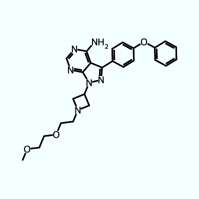 COCCOCCN1CC(n2nc(-c3ccc(Oc4ccccc4)cc3)c3c(N)ncnc32)C1